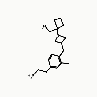 BCCc1ccc(CC2CN(C3(CN)CCC3)C2)c(C)c1